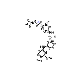 CCc1ncc(Nc2cccc([C@@H](C)CNC(=O)CN(C)C(=O)/C=C/CN3CCC3)c2)nc1CC